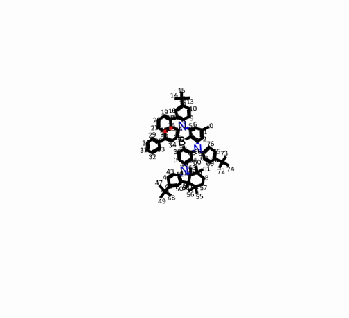 Cc1cc2c3c(c1)N(c1ccc(C(C)(C)C)cc1-c1ccccc1)c1ccc(-c4ccccc4)cc1B3c1ccc(N3c4ccc(C(C)(C)C)cc4C4(C)C(C)(C)CCC(C)(C)C34C)cc1N2c1ccc(C(C)(C)C)cc1